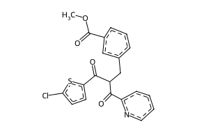 COC(=O)c1cccc(CC(C(=O)c2ccccn2)C(=O)c2ccc(Cl)s2)c1